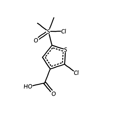 CS(C)(=O)(Cl)c1cc(C(=O)O)c(Cl)s1